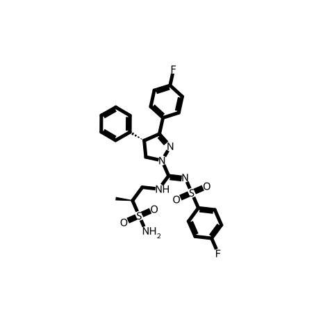 C[C@@H](CN/C(=N\S(=O)(=O)c1ccc(F)cc1)N1C[C@H](c2ccccc2)C(c2ccc(F)cc2)=N1)S(N)(=O)=O